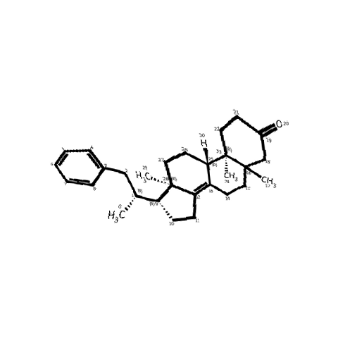 C[C@H](Cc1ccccc1)[C@H]1CCC2=C3CCC4(C)CC(=O)CC[C@]4(C)[C@H]3CC[C@@]21C